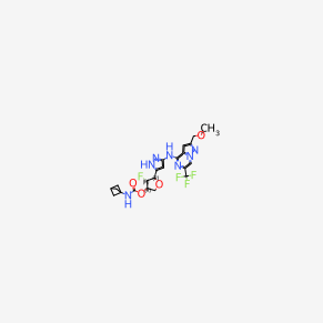 COCc1cc2c(Nc3cc([C@H]4OC[C@@H](OC(=O)NC56CC(C5)C6)[C@@H]4F)[nH]n3)nc(C(F)(F)F)cn2n1